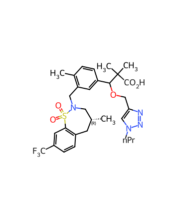 CCCn1cc(COC(c2ccc(C)c(CN3C[C@H](C)Cc4ccc(C(F)(F)F)cc4S3(=O)=O)c2)C(C)(C)C(=O)O)nn1